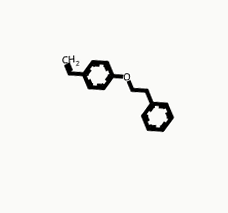 C=Cc1ccc(OCCc2ccccc2)cc1